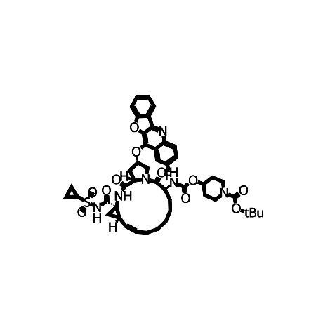 CC(C)(C)OC(=O)N1CCC(OC(=O)N[C@H]2CCCCC/C=C\[C@@H]3C[C@@]3(C(=O)NS(=O)(=O)C3CC3)NC(=O)[C@@H]3C[C@@H](Oc4c5cc(F)ccc5nc5c4oc4ccccc45)CN3C2=O)CC1